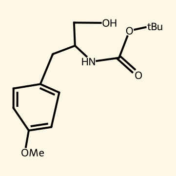 COc1ccc(CC(CO)NC(=O)OC(C)(C)C)cc1